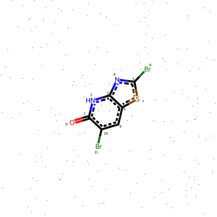 O=c1[nH]c2nc(Br)sc2cc1Br